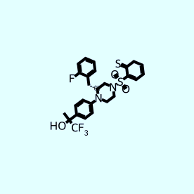 CC(O)(c1ccc(N2CCN(S(=O)(=O)C3=CC=CCC3=S)C[C@H]2Cc2ccccc2F)cc1)C(F)(F)F